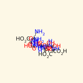 CC(C)[C@H](NC(=O)[C@H](CO)NC(=O)CNC(=O)[C@H](CO)NC(=O)[C@H](CCC(=O)O)NC(=O)[C@@H](N)CCCCN)C(=O)N[C@@H](CO)C(=O)N[C@@H](CO)C(=O)N[C@@H](CCC(=O)O)C(=O)O